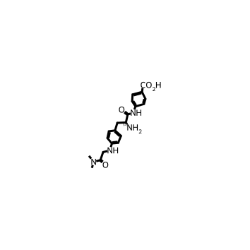 CN(C)C(=O)CNc1ccc(C[C@H](N)C(=O)Nc2ccc(C(=O)O)cc2)cc1